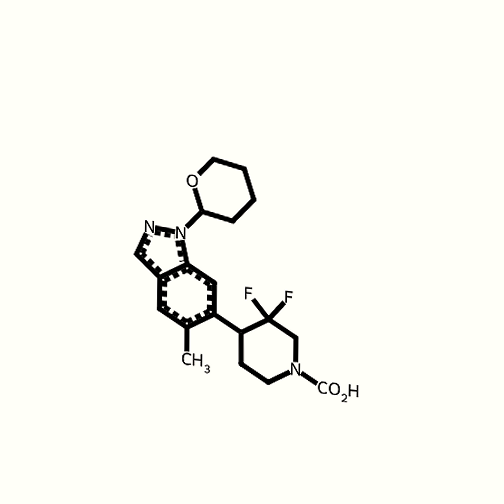 Cc1cc2cnn(C3CCCCO3)c2cc1C1CCN(C(=O)O)CC1(F)F